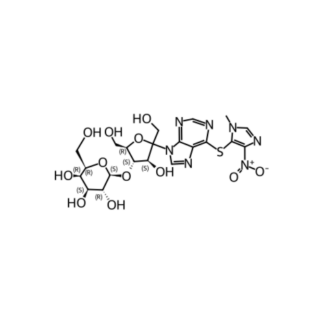 Cn1cnc([N+](=O)[O-])c1Sc1ncnc2c1ncn2C1(CO)O[C@H](CO)[C@@H](O[C@@H]2O[C@H](CO)[C@H](O)[C@H](O)[C@H]2O)[C@@H]1O